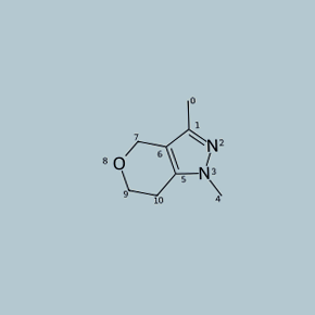 Cc1nn(C)c2c1COCC2